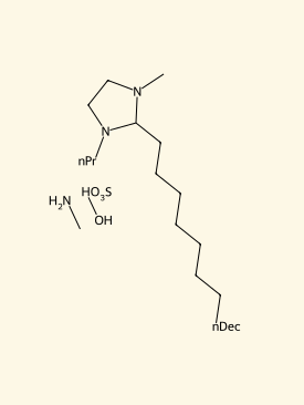 CCCCCCCCCCCCCCCCCC1N(C)CCN1CCC.CN.O=S(=O)(O)O